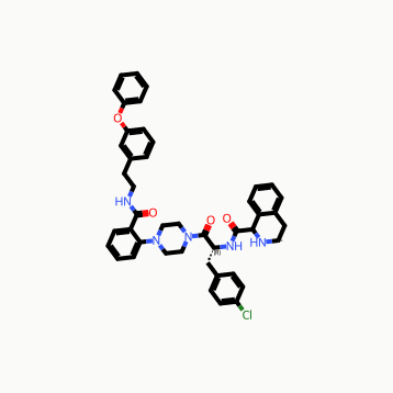 O=C(NCCc1cccc(Oc2ccccc2)c1)c1ccccc1N1CCN(C(=O)[C@@H](Cc2ccc(Cl)cc2)NC(=O)C2N[CH]Cc3ccccc32)CC1